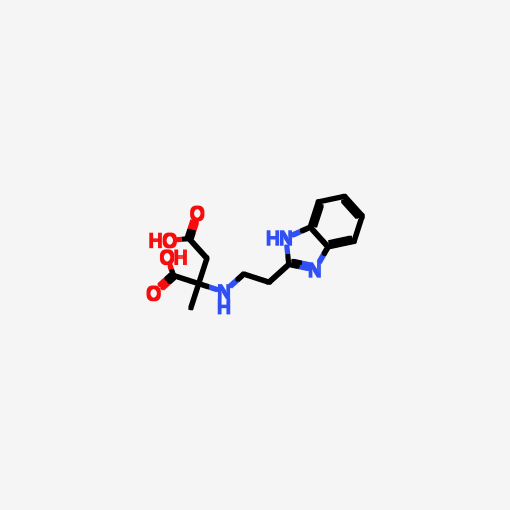 CC(CC(=O)O)(NCCc1nc2ccccc2[nH]1)C(=O)O